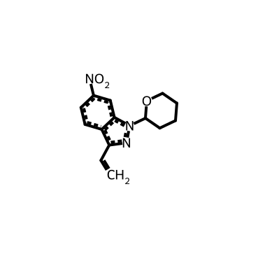 C=Cc1nn(C2CCCCO2)c2cc([N+](=O)[O-])ccc12